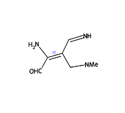 CNC/C(C=N)=C(/N)C=O